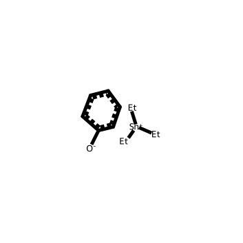 C[CH2][Sn+]([CH2]C)[CH2]C.[O-]c1ccccc1